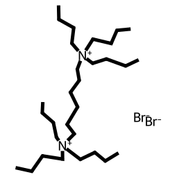 CCCC[N+](CCCC)(CCCC)CCCCCC[N+](CCCC)(CCCC)CCCC.[Br-].[Br-]